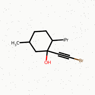 CC1CCC(C(C)C)C(O)(C#CBr)C1